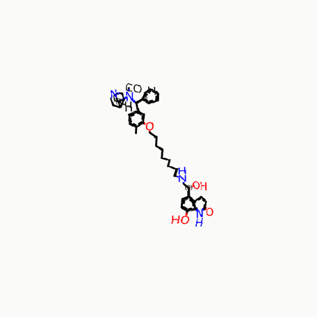 Cc1ccc(C(c2ccccc2)N(C(=O)O)[C@H]2CN3CCC2CC3)cc1OCCCCCCCCCNC[C@H](O)c1ccc(O)c2[nH]c(=O)ccc12